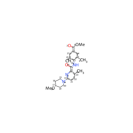 COC(=O)c1cc(C)c(NC(=O)c2nc(N3CCC(OC)CC3)ccc2C)c(C)c1